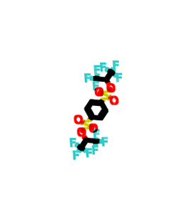 O=S(=O)(OC(C(F)(F)F)C(F)(F)F)c1ccc(S(=O)(=O)OC(C(F)(F)F)C(F)(F)F)cc1